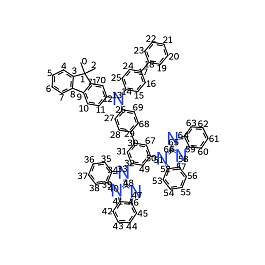 CC1(C)c2ccccc2-c2ccc(N(c3ccc(-c4ccccc4)cc3)c3ccc(-c4cc(-n5c6ccccc6n6c7ccccc7nc56)cc(-n5c6ccccc6n6c7ccccc7nc56)c4)cc3)cc21